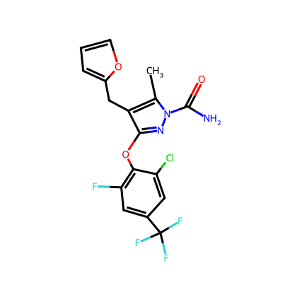 Cc1c(Cc2ccco2)c(Oc2c(F)cc(C(F)(F)F)cc2Cl)nn1C(N)=O